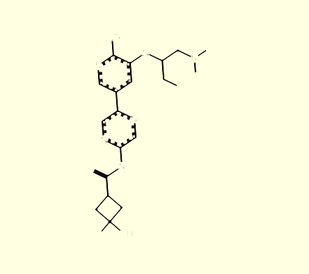 CN(C)CC(CC=O)Nc1cc(-c2cnc(NC(=O)C3CC(C)(O)C3)cn2)cnc1C#N